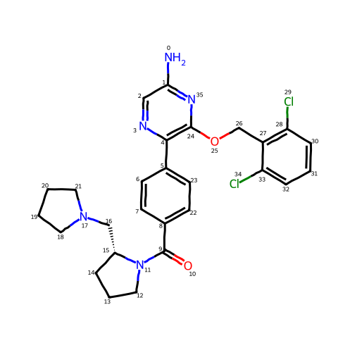 Nc1cnc(-c2ccc(C(=O)N3CCC[C@@H]3CN3CCCC3)cc2)c(OCc2c(Cl)cccc2Cl)n1